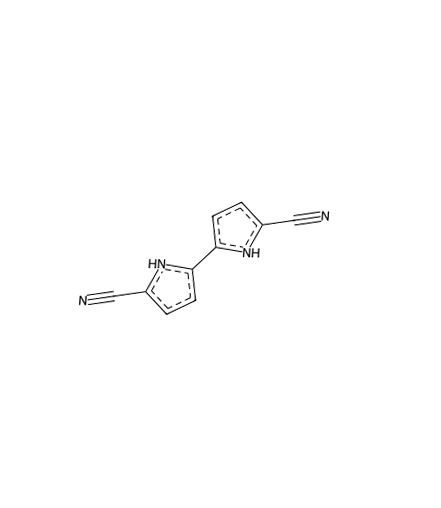 N#Cc1ccc(-c2ccc(C#N)[nH]2)[nH]1